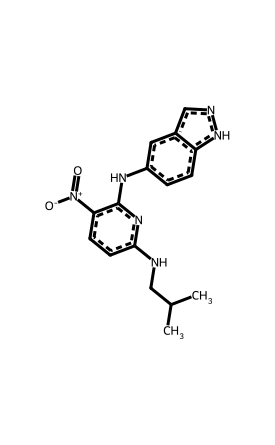 CC(C)CNc1ccc([N+](=O)[O-])c(Nc2ccc3[nH]ncc3c2)n1